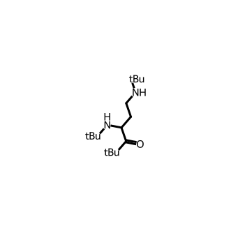 CC(C)(C)NCCC(NC(C)(C)C)C(=O)C(C)(C)C